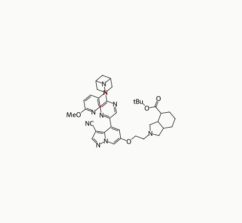 COc1ccc(CN2C3CC2CN(c2cnc(-c4cc(OCCN5CC6CCCC(C(=O)OC(C)(C)C)C6C5)cn5ncc(C#N)c45)cn2)C3)cn1